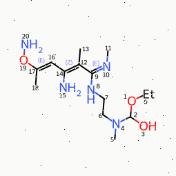 CCOC(O)N(C)CCNC(=N/C)/C(C)=C(N)/C=C(\C)ON